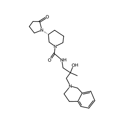 CC(O)(CNC(=O)N1CCC[C@@H](N2CCCC2=O)C1)CN1CCc2ccccc2C1